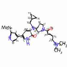 CNc1cc(-c2c[nH]c(=O)c(N(CC3CC3)[C@@H]3CCN(C(=O)C=CCN(C)C)C3)c2)ccn1